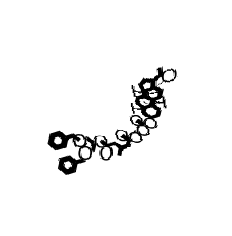 CC(=O)C1CC[C@H]2[C@@H]3CC[C@H]4C[C@H](OC(=O)OCOC(=O)CC(C)CC(=O)OC(COCc5ccccc5)COCc5ccccc5)CC[C@]4(C)[C@H]3CC[C@]12C